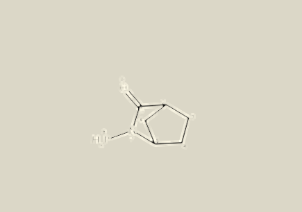 O=C1C2CCC(C2)N1P